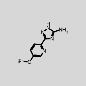 CC(C)Oc1ccc(-c2n[nH]c(N)n2)nc1